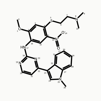 COc1cc(SCCN(C)C)c([N+](=O)[O-])cc1Nc1nccc(-c2cn(C)c3ccccc23)n1